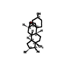 CC[C@@H]1C[C@H]2[C@@H]3C[C@H]4OC[C@@]5(CC[C@H](O)C[C@]45Br)[C@H]3CC[C@]2(C)[C@H]1C(C)=O